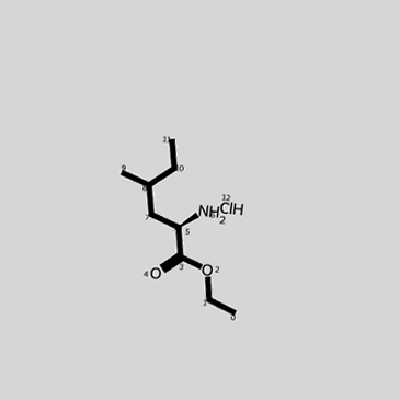 CCOC(=O)[C@H](N)CC(C)CC.Cl